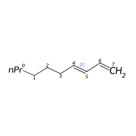 [CH2]CCCCC/C=C/C=C